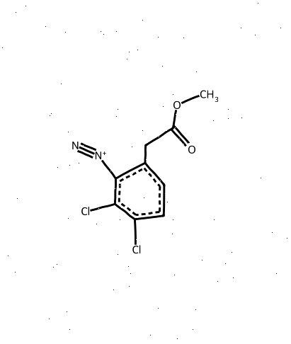 COC(=O)Cc1ccc(Cl)c(Cl)c1[N+]#N